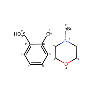 CCCCN1CCOCC1.Cc1ccccc1S(=O)(=O)O